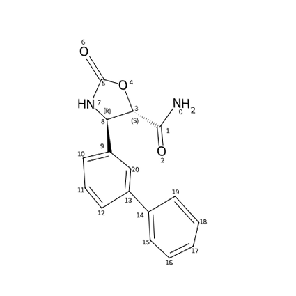 NC(=O)[C@H]1OC(=O)N[C@@H]1c1cccc(-c2ccccc2)c1